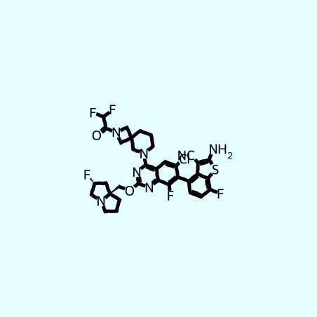 N#Cc1c(N)sc2c(F)ccc(-c3c(Cl)cc4c(N5CCCC6(CN(C(=O)C(F)F)C6)C5)nc(OC[C@@]56CCCN5C[C@H](F)C6)nc4c3F)c12